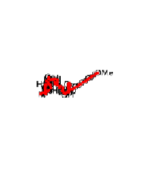 COCCOCCOCCOCCOCCOCCOCCOCCC(=O)NC[C@H](NC(=O)CN1C(=O)C=CC1=O)C(=O)N[C@H](C(=O)N[C@@H](C)C(=O)Nc1ccc(COC(=O)N(C)Cc2ccccc2C(=O)Nc2nc3c(ncn3[C@@H]3O[C@@H]4CO[P@@](=O)(S)O[C@H]5C[C@H](Oc6ccncn6)C[C@@H]5CO[P@@](=O)(S)O[C@@H]3[C@@H]4O)c(=O)[nH]2)cc1)C(C)C